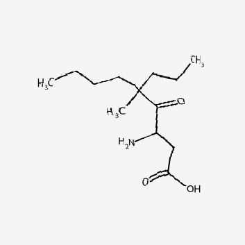 CCCCC(C)(CCC)C(=O)C(N)CC(=O)O